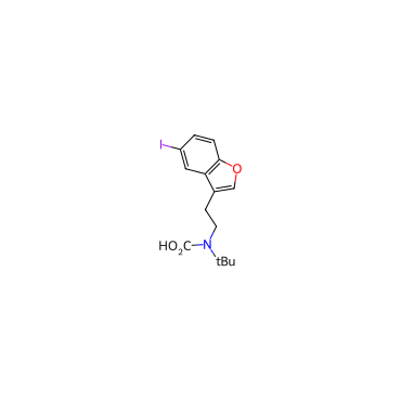 CC(C)(C)N(CCc1coc2ccc(I)cc12)C(=O)O